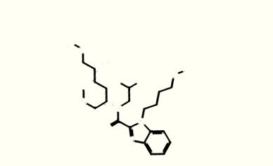 COCCCCn1c(C(=O)N(CC(C)C)[C@@H]2CNC[C@H]([C@@H](O)COC)C2)nc2ccccc21